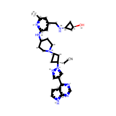 N#CC[C@]1(n2cc(-c3ncnc4[nH]ccc34)cn2)C[C@@H](N2CCC(Nc3cc(CN[C@H]4C[C@H](O)C4)cc(C(F)(F)F)n3)CC2)C1